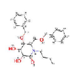 CCCCN1C(=O)C(O)C(O)C(OCc2ccccc2)C1COCc1ccccc1